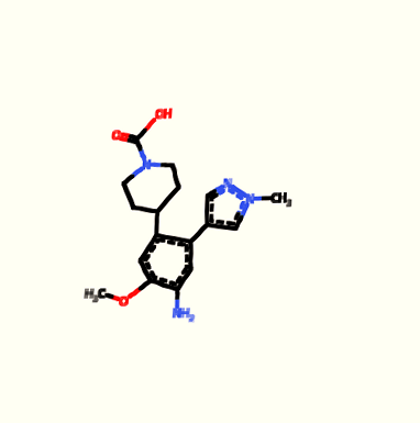 COc1cc(C2CCN(C(=O)O)CC2)c(-c2cnn(C)c2)cc1N